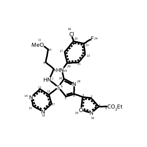 CCOC(=O)c1cc(C2=CS(NCCCOC)(c3cncnc3)C(Nc3ccc(F)c(Cl)c3)=N2)on1